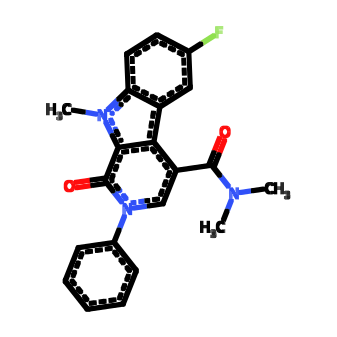 CN(C)C(=O)c1cn(-c2ccccc2)c(=O)c2c1c1cc(F)ccc1n2C